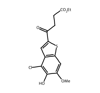 CCOC(=O)CCC(=O)c1cc2c(Cl)c(O)c(OC)cc2s1